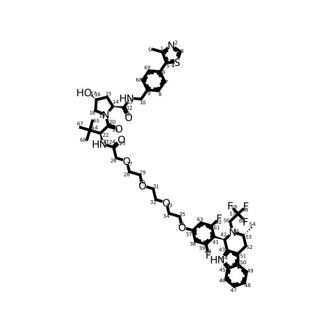 Cc1ncsc1-c1ccc(CNC(=O)[C@@H]2C[C@@H](O)CN2C(=O)[C@@H](NC(=O)COCCOCCOCCOc2cc(F)c([C@@H]3c4[nH]c5ccccc5c4C[C@@H](C)N3CC(F)(F)F)c(F)c2)C(C)(C)C)cc1